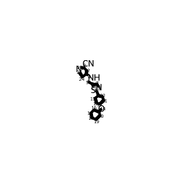 N#Cc1cc(NCc2cnc(-c3ccc(Oc4ccccc4)cc3)s2)ccn1